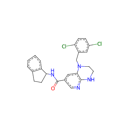 O=C(NC1CCc2ccccc21)c1cnc2c(c1)N(Cc1cc(Cl)ccc1Cl)CCN2